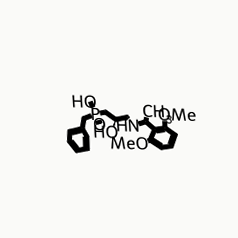 COc1cccc(OC)c1C(C)NC[C@H](O)CP(=O)(O)Cc1ccccc1